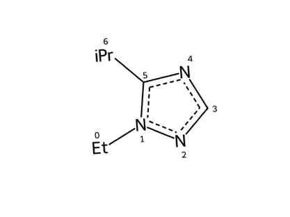 CCn1ncnc1C(C)C